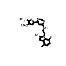 CCOc1cc(-c2cc(NCCn3c(C#N)cc4c(C)ccc(F)c43)ncn2)sc1C(=O)O